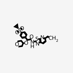 C=Cc1ccc2nc(NC(=O)C(OC3CCOCC3)c3ccc(S(=O)(=O)C4CC4)cc3)sc2n1